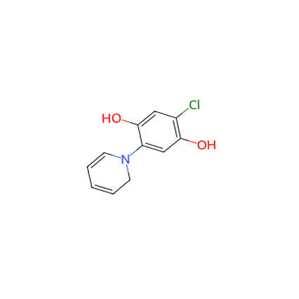 Oc1cc(N2C=CC=CC2)c(O)cc1Cl